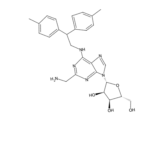 Cc1ccc(C(CNc2nc(CN)nc3c2ncn3[C@@H]2O[C@H](CO)[C@@H](O)[C@H]2O)c2ccc(C)cc2)cc1